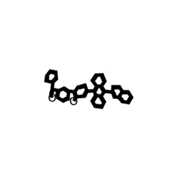 c1ccc(-c2coc3cc4oc5cc(-c6c7ccccc7c(-c7ccc8ccccc8c7)c7ccccc67)ccc5c4cc23)cc1